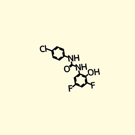 O=C(Nc1ccc(Cl)cc1)Nc1cc(F)cc(F)c1O